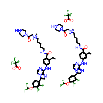 CCc1cc(Nc2nccn3c(-c4ccc(OC(F)F)c(F)c4F)cnc23)ccc1C(=O)NCCCCC[N+](C)(C)CC(=O)N1CCNCC1.CCc1cc(Nc2nccn3c(-c4ccc(OC(F)F)c(F)c4F)cnc23)ccc1C(=O)NCCCCC[N+](C)(C)CC(=O)N1CCNCC1.O=C([O-])C(F)(F)F.O=C([O-])C(F)(F)F